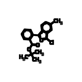 Cc1ccc2c(-c3ccccc3C(=O)OC(C)(C)C)oc(Cl)c2c1